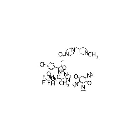 CC(C)c1nccn1-c1nc(-c2ccc(Cl)cc2)c(CCC(=O)N2CCN(CC3CCN(C)CC3)CC2)o1.O=C(O)C(F)(F)F.O=C1C=C(N2CC2)C(=O)C(N2CC2)=C1N1CC1